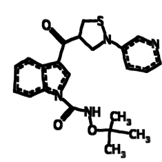 CC(C)(C)ONC(=O)n1cc(C(=O)C2CSN(c3cccnc3)C2)c2ccccc21